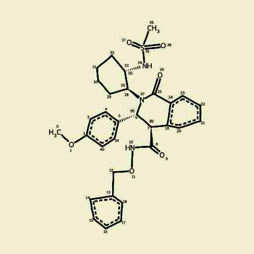 COc1ccc([C@H]2[C@H](C(=O)NOCc3ccccc3)c3ccccc3C(=O)N2[C@H]2CCCC[C@@H]2NS(C)(=O)=O)cc1